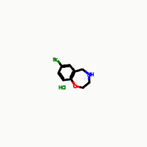 Brc1ccc2c(c1)CNCCO2.Cl